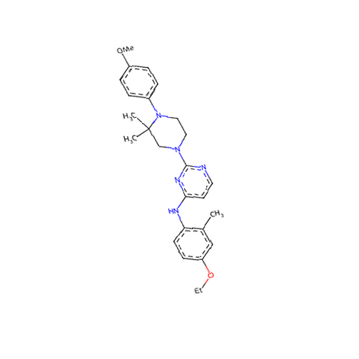 CCOc1ccc(Nc2ccnc(N3CCN(c4ccc(OC)cc4)C(C)(C)C3)n2)c(C)c1